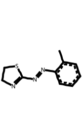 Cc1ccccc1N=NC1=NCCS1